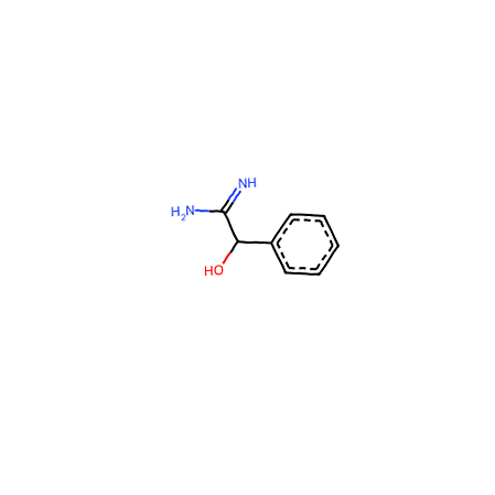 N=C(N)C(O)c1ccccc1